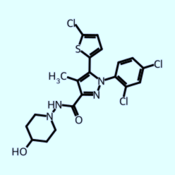 Cc1c(C(=O)NN2CCC(O)CC2)nn(-c2ccc(Cl)cc2Cl)c1-c1ccc(Cl)s1